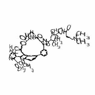 CCn1c(-c2cccnc2[C@H](C)OC)c2c3cc(ccc31)-c1cccc(c1)C[C@H](NC(=O)C(CN(C)C(=O)[C@H]1CCN(C(=O)/C=C/CN(C)C)C1)C(C)C)C(=O)N1CCC[C@H](N1)C(=O)OCC(C)(C)C2